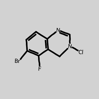 Fc1c(Br)ccc2c1CN(Cl)C=N2